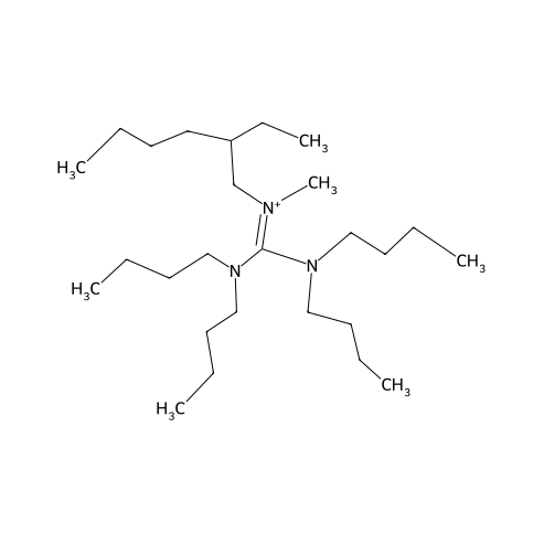 CCCCC(CC)C[N+](C)=C(N(CCCC)CCCC)N(CCCC)CCCC